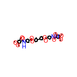 COc1cc(C=O)c(C(=O)Nc2ccc(C(=O)Oc3ccc(-c4ccc(OC(=O)c5ccc(NC(=O)c6cc(OC)c(OC)cc6OC)cc5)cc4)cc3)cc2)cc1OC